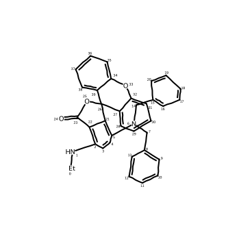 CCNc1ccc(N(Cc2ccccc2)Cc2ccccc2)c2c1C(=O)OC21c2ccccc2Oc2ccccc21